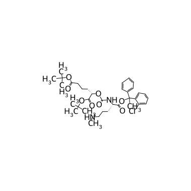 CNCCC[C@H](NC(=O)O[C@@H](CCCC(=O)OC(C)(C)C)C(=O)OC(C)(C)C)C(=O)OC(C)(c1ccccc1)c1ccccc1Cl